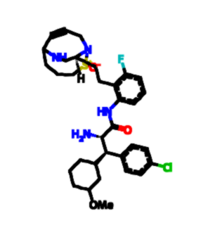 COC1CCCC([C@H](c2ccc(Cl)cc2)[C@H](N)C(=O)Nc2cccc(F)c2CC[C@H]2CNC3C#CCN2[S+]([O-])CCC3)C1